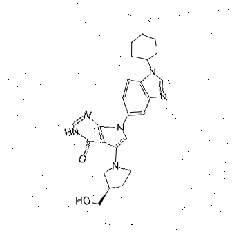 O=c1[nH]cnc2c1c(N1CC[C@@H](CO)C1)cn2-c1ccc2c(c1)ncn2C1CCCCC1